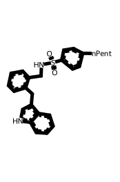 CCCCCc1ccc(S(=O)(=O)NCc2ccccc2Cc2c[nH]c3ccccc23)cc1